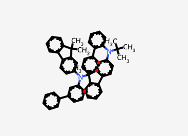 CC1(C)c2ccccc2-c2ccc(N(c3cccc(-c4ccccc4)c3)C3(C)c4ccccc4-c4ccc(N(c5ccccc5-c5ccccc5)C(C)(C)C)cc43)cc21